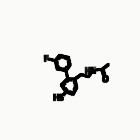 CC(=O)NCCc1ccc(S)cc1-c1cccc(F)c1